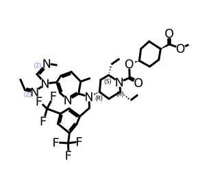 C/C=N\N(/C=N\C)C1=CN=C(N(Cc2cc(C(F)(F)F)cc(C(F)(F)F)c2)[C@H]2C[C@@H](CC)N(C(=O)O[C@H]3CC[C@H](C(=O)OC)CC3)[C@@H](CC)C2)C(C)C=C1